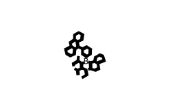 C=C(C)C(/C=C\C)=C(B(c1cccc(-c2c3c(cc4ccccc24)CCC=C3)c1)c1c(C)ccc2ccccc12)\C(C)=C/C